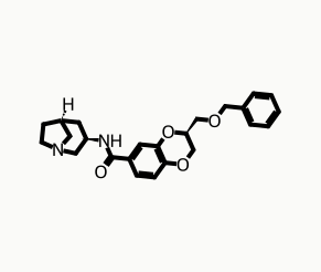 O=C(N[C@@H]1C[C@@H]2CCN(C2)C1)c1ccc2c(c1)O[C@@H](COCc1ccccc1)CO2